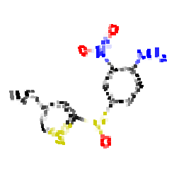 Cc1csc([S+]([O-])c2ccc(N)c([N+](=O)[O-])c2)c1